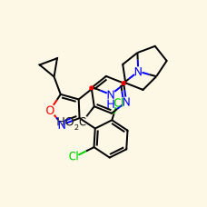 O=C(O)c1ccc(N2C3CCC2CC(NCc2c(-c4c(Cl)cccc4Cl)noc2C2CC2)C3)nc1